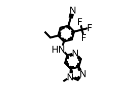 CCc1cc(C#N)c(C(F)(F)F)cc1Nc1cc2c(cn1)ncn2C